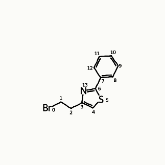 BrCCc1csc(-c2ccccc2)n1